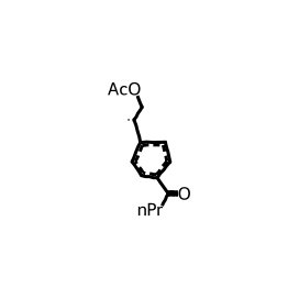 CCCC(=O)c1ccc([CH]COC(C)=O)cc1